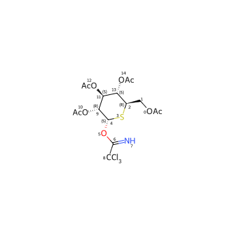 CC(=O)OC[C@H]1S[C@H](OC(=N)C(Cl)(Cl)Cl)[C@H](OC(C)=O)[C@@H](OC(C)=O)[C@@H]1OC(C)=O